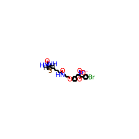 O=C(CCCCC1SC[C@@H]2NC(=O)N[C@H]12)NCCCOc1ccc2c(c1)C=C([N+](=O)[O-])C(c1ccc(Br)cc1)O2